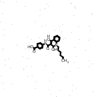 CCCCCCN1c2ccccc2C(O)=C(C(=O)Nc2ccc(C(=O)O)cc2)C1O